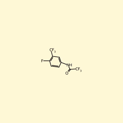 O=C(Nc1ccc(F)c(C(F)(F)F)c1)C(F)(F)F